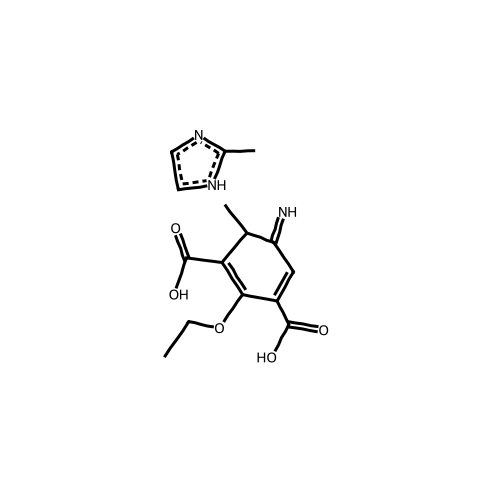 CCOC1=C(C(=O)O)C(C)C(=N)C=C1C(=O)O.Cc1ncc[nH]1